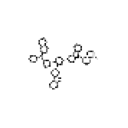 Fc1cccc2c(-n3c4ccccc4c4cc(-c5ccc(-c6cccc(N(c7ccccc7)c7ccc8ccccc8c7)c6)c(-c6ccc7c(c6)oc6ccccc67)c5)ccc43)cccc12